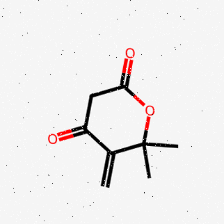 C=C1C(=O)CC(=O)OC1(C)C